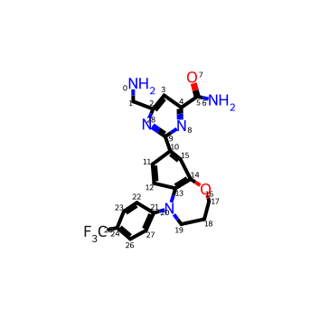 NCc1cc(C(N)=O)nc(-c2ccc3c(c2)OCCCN3c2ccc(C(F)(F)F)cc2)n1